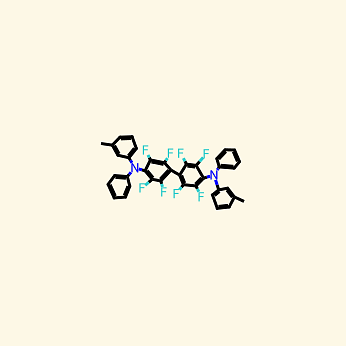 Cc1cccc(N(c2ccccc2)c2c(F)c(F)c(-c3c(F)c(F)c(N(c4ccccc4)c4cccc(C)c4)c(F)c3F)c(F)c2F)c1